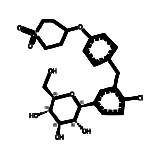 O=S1(=O)CCC(Oc2ccc(Cc3cc([C@@H]4O[C@H](CO)[C@@H](O)[C@H](O)[C@H]4O)ccc3Cl)cc2)CC1